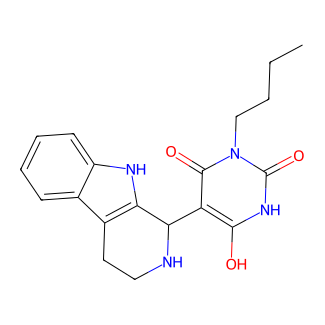 CCCCn1c(=O)[nH]c(O)c(C2NCCc3c2[nH]c2ccccc32)c1=O